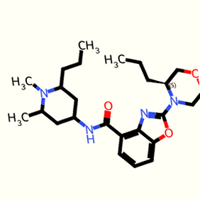 CCCC1CC(NC(=O)c2cccc3oc(N4CCOC[C@@H]4CCC)nc23)CC(C)N1C